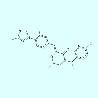 Cc1cn(-c2ccc(/C=C3\O[C@@H](C)CN([C@@H](C)c4ccc(Cl)nc4)C3=O)cc2F)cn1